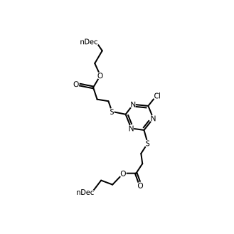 CCCCCCCCCCCCOC(=O)CCSc1nc(Cl)nc(SCCC(=O)OCCCCCCCCCCCC)n1